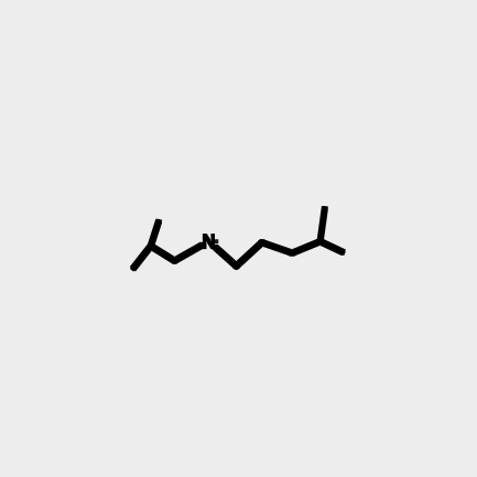 CC(C)CCC[N]CC(C)C